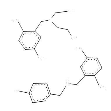 CCN(CCO)Cc1cc(N)ccc1N.Nc1ccc(N)c(CNCc2ccc(Cl)cc2)c1